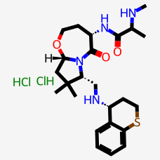 CNC(C)C(=O)N[C@H]1CCO[C@H]2CC(C)(C)[C@@H](CN[C@@H]3CCSc4ccccc43)N2C1=O.Cl.Cl